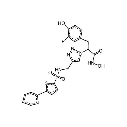 O=C(NO)C(Cc1ccc(O)c(F)c1)n1cc(CNS(=O)(=O)c2ccc(-c3ccccc3)s2)nn1